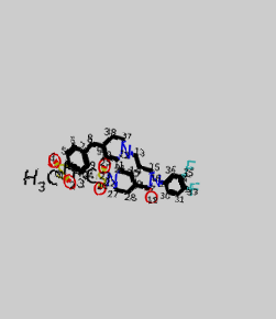 CS(=O)(=O)c1ccc(CC2CCN(CCCN(C(=O)C3CCN(S(C)(=O)=O)CC3)c3ccc(F)c(F)c3)CC2)cc1